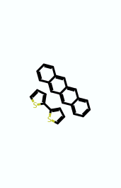 c1ccc2cc3cc4ccccc4cc3cc2c1.c1csc(-c2cccs2)c1